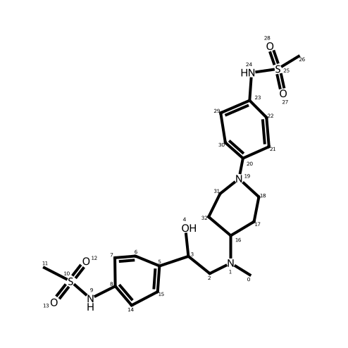 CN(CC(O)c1ccc(NS(C)(=O)=O)cc1)C1CCN(c2ccc(NS(C)(=O)=O)cc2)CC1